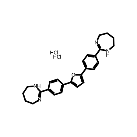 Cl.Cl.c1cc(-c2ccc(-c3ccc(C4=NCCCCN4)cc3)o2)ccc1C1=NCCCCN1